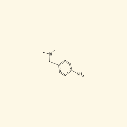 [CH3][Bi]([CH3])[CH2]c1ccc(N)cc1